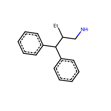 [CH2]CC(C[NH])C(c1ccccc1)c1ccccc1